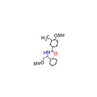 COCC(NC(=O)c1ccc(OC)c(C)c1)c1ccccc1